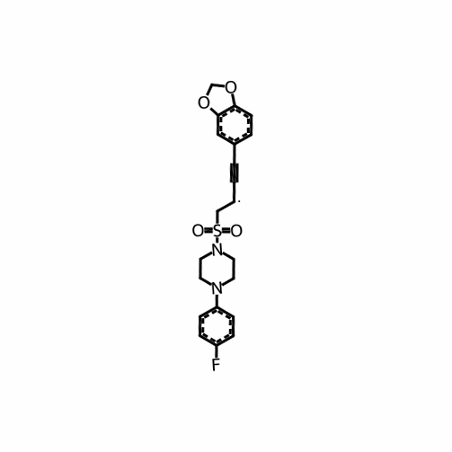 O=S(=O)(C[CH]C#Cc1ccc2c(c1)OCO2)N1CCN(c2ccc(F)cc2)CC1